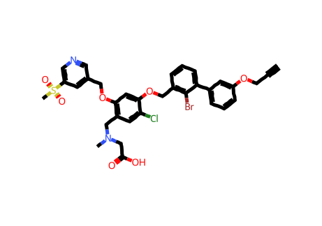 C#CCOc1cccc(-c2cccc(COc3cc(OCc4cncc(S(C)(=O)=O)c4)c(CN(C)CC(=O)O)cc3Cl)c2Br)c1